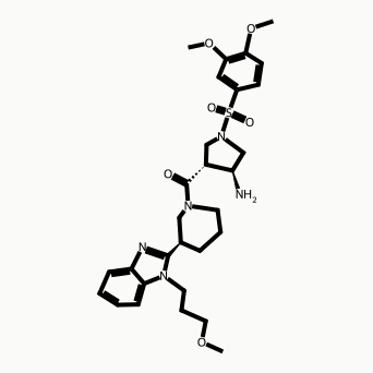 COCCCn1c([C@@H]2CCCN(C(=O)[C@@H]3CN(S(=O)(=O)c4ccc(OC)c(OC)c4)C[C@H]3N)C2)nc2ccccc21